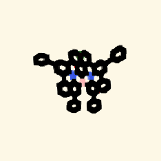 Clc1cc2c3c(c1)N(c1c(-c4ccccc4)cc(-c4ccccc4)cc1-c1ccccc1)c1ccc(-c4ccccc4)cc1B3c1cc(-c3ccccc3)ccc1N2c1c(-c2ccccc2)cc(-c2ccccc2)cc1-c1ccccc1